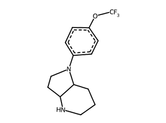 FC(F)(F)Oc1ccc(N2CCC3NCCCC32)cc1